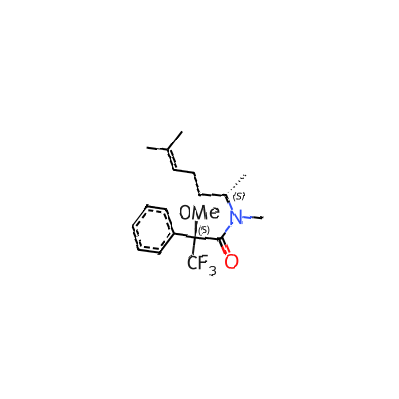 CO[C@](C(=O)N(C)[C@@H](C)CCC=C(C)C)(c1ccccc1)C(F)(F)F